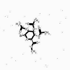 COC(=O)[C@H]1O[C@@H](Br)[C@H](OC(C)=O)[C@@H](OC(C)=O)[C@@H]1OC(C)=O